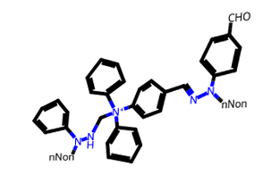 CCCCCCCCCN(N=Cc1ccc([N+](CNN(CCCCCCCCC)c2ccccc2)(c2ccccc2)c2ccccc2)cc1)c1ccc(C=O)cc1